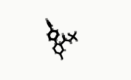 CC1CC[C@@H](c2ccc(C#N)cc2)N(C(=O)OC(C)(C)C)C1